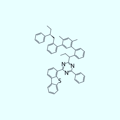 CCC(c1nc(-c2ccccc2)nc(-c2cccc3c2sc2ccccc23)n1)c1ccccc1-c1cc(-c2ccccc2C[C@H](CC)c2ccccc2)c(C)cc1C